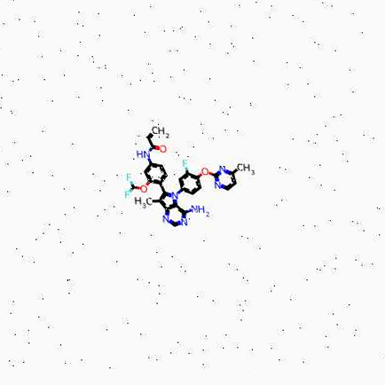 C=CC(=O)Nc1ccc(-c2c(C)c3ncnc(N)c3n2-c2ccc(Oc3nccc(C)n3)c(F)c2)c(OC(F)F)c1